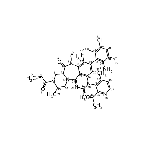 C=CC(=O)N1CC2C(=O)N(C)c3c(F)c(-c4c(N)c(Cl)cc(Cl)c4F)cc4c3c(nc(=O)n4-c3c(C)ccnc3C(C)C)N2CC1C